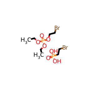 CCOP(=O)(OCC)OCCBr.O=P(O)(O)CCBr